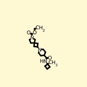 C=COC(=O)N1CCC2(CC(N3CCC(C(=O)NC4(C)CCC4)CC3)C2)C1